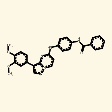 COc1ccc(-c2cnn3ccc(Nc4ccc(NC(=O)c5ccccc5)cc4)nc23)cc1OC